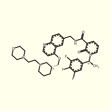 C[C@@H](c1cc(F)c(F)c(F)c1)n1cccc(C(=O)NCc2ccc3nccc(OC[C@@H]4CCCN(CCN5CCOCC5)C4)c3c2)c1=O